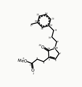 COC(=O)CCC1=CCN(CCCc2cccc(C)c2)C1=O